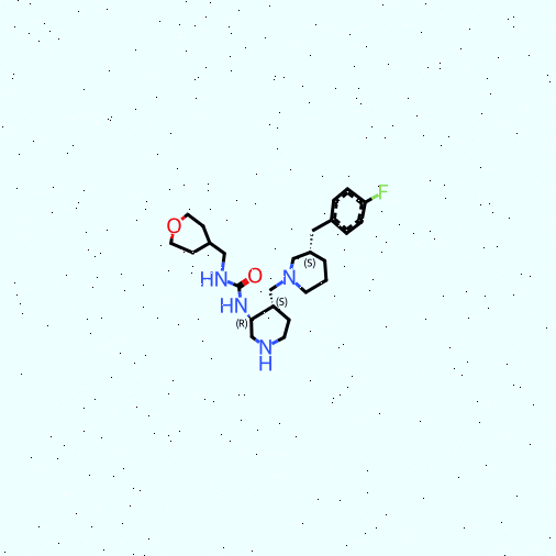 O=C(NCC1CCOCC1)N[C@H]1CNCC[C@H]1CN1CCC[C@@H](Cc2ccc(F)cc2)C1